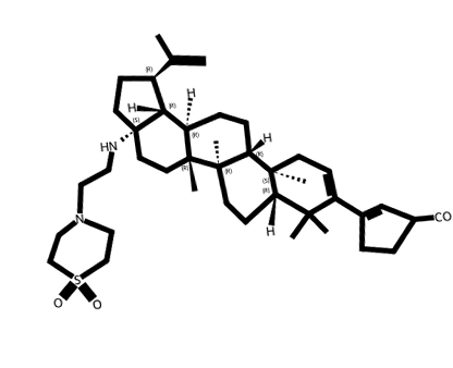 C=C(C)[C@@H]1CC[C@]2(NCCN3CCS(=O)(=O)CC3)CC[C@]3(C)[C@H](CC[C@@H]4[C@@]5(C)CC=C(C6=CC(C(=O)O)CC6)C(C)(C)[C@@H]5CC[C@]43C)[C@@H]12